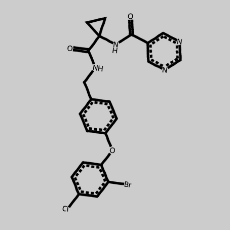 O=C(NC1(C(=O)NCc2ccc(Oc3ccc(Cl)cc3Br)cc2)CC1)c1cncnc1